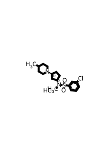 CC1CCN([C@H]2CC[C@@H](N(C)S(=O)(=O)c3cccc(Cl)c3)C2)CC1.Cl